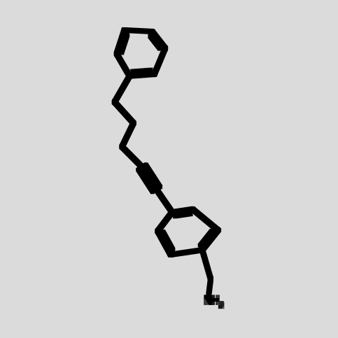 NCc1ccc(C#CCCCc2ccccc2)cc1